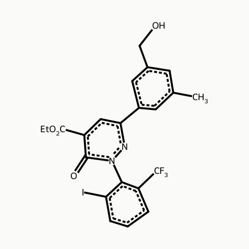 CCOC(=O)c1cc(-c2cc(C)cc(CO)c2)nn(-c2c(I)cccc2C(F)(F)F)c1=O